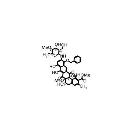 COC(=O)c1c(C)cc2c(c1O)[C@]1(O)C(=O)c3cc4c(OCc5ccccc5)c(NC5O[C@@H](C)[C@H](OC)[C@@H](O)[C@H]5CO)cc(O)c4c(O)c3C(=O)[C@]1(OC)[C@H](O)C2